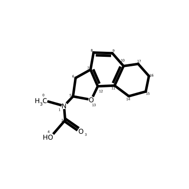 CN(C(=O)O)C1Cc2ccc3c(c2O1)CCCC3